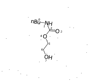 CCCCNC(=O)OCCO